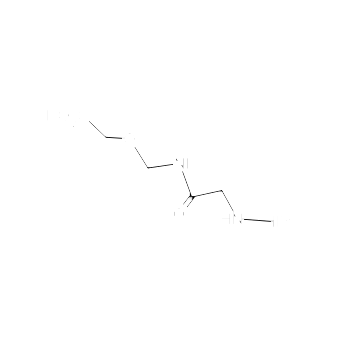 CC(C)NCC(=O)NCOCC(=O)O